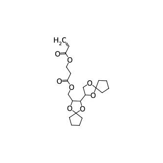 C=CC(=O)OCCC(=O)OCC1OC2(CCCC2)OC1C1COC2(CCCC2)O1